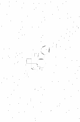 CCOC(=O)C1(C2=NCCc3c2[nH]c2ccc(Cl)cc32)CCC1